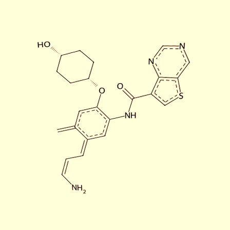 C=c1cc(O[C@H]2CC[C@@H](O)CC2)c(NC(=O)c2csc3cncnc23)c/c1=C/C=C\N